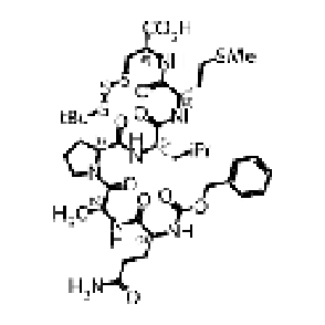 CSCC[C@H](NC(=O)[C@H](CC(C)C)NC(=O)[C@@H]1CCCN1C(=O)[C@H](C)NC(=O)[C@H](CCC(N)=O)NC(=O)OCc1ccccc1)C(=O)N[C@@H](CSSSC(C)(C)C)C(=O)O